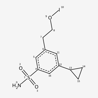 NS(=O)(=O)c1cc(CCOI)cc(C2CC2)c1